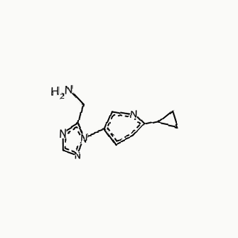 NCc1ncnn1-c1ccc(C2CC2)nc1